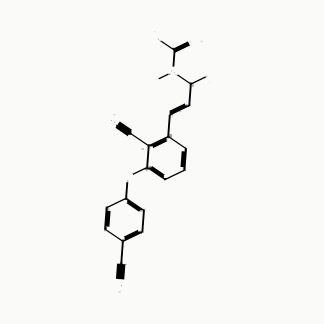 CC(/C=C/c1cccc(Oc2ccc(C#N)cc2)c1C#N)N(O)C(N)=O